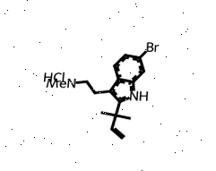 C=CC(C)(C)c1[nH]c2cc(Br)ccc2c1CCNC.Cl